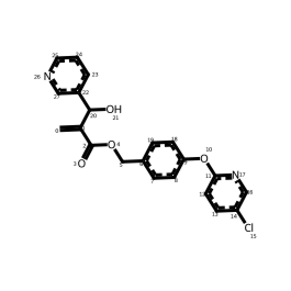 C=C(C(=O)OCc1ccc(Oc2ccc(Cl)cn2)cc1)C(O)c1cccnc1